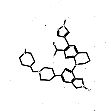 CC(=O)N1Cc2cc(C3CCN(CC4CCNCC4)CC3)cc(N3CCCc4cc(-c5cnn(C)c5)c(C(F)F)cc43)c2C1